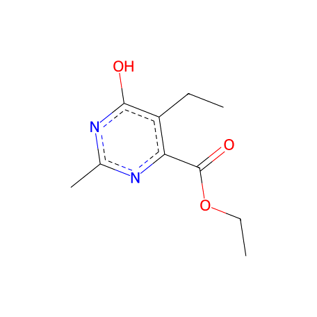 CCOC(=O)c1nc(C)nc(O)c1CC